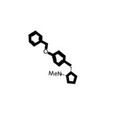 CN[C@H]1CCC[C@H]1Cc1ccc(OCc2ccccc2)cc1